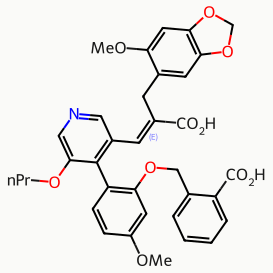 CCCOc1cncc(/C=C(\Cc2cc3c(cc2OC)OCO3)C(=O)O)c1-c1ccc(OC)cc1OCc1ccccc1C(=O)O